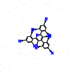 N#Cc1cc(C#N)c(-c2nc(-c3c(C#N)cc(C#N)cc3C#N)c(C#N)c(-c3c(C#N)cc(C#N)cc3C#N)c2C#N)c(C#N)c1